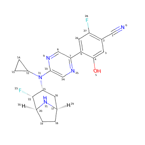 N#Cc1cc(O)c(-c2cnc(N(C3CC3)[C@@H]3C[C@H]4CC[C@H](N4)[C@@H]3F)cn2)cc1F